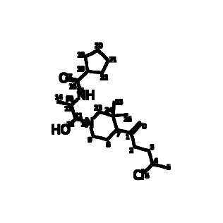 C=C(CCC(C)Cl)C1CCN(C(O)[C@@H](C)NC(=O)C2CCCC2)CC1(C)C